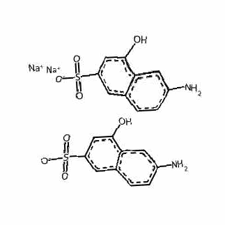 Nc1ccc2cc(S(=O)(=O)[O-])cc(O)c2c1.Nc1ccc2cc(S(=O)(=O)[O-])cc(O)c2c1.[Na+].[Na+]